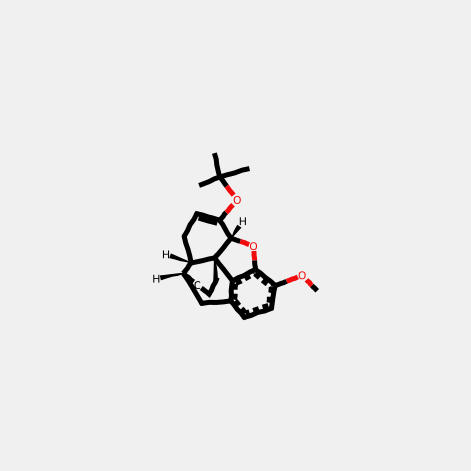 COc1ccc2c3c1O[C@H]1C(OC(C)(C)C)=CC[C@H]4[C@H](CCC[C@]314)C2